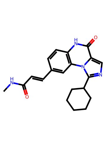 CNC(=O)C=Cc1ccc2[nH]c(=O)c3cnc(C4CCCCC4)n3c2c1